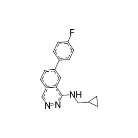 Fc1ccc(-c2ccc3cnnc(NCC4CC4)c3c2)cc1